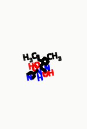 CCCc1cc(C)cc2nc(O)c(NC(=O)c3ccncc3)c(O)c12